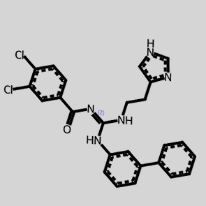 O=C(/N=C(/NCCc1c[nH]cn1)Nc1cccc(-c2ccccc2)c1)c1ccc(Cl)c(Cl)c1